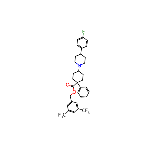 O=C(OCc1cc(C(F)(F)F)cc(C(F)(F)F)c1)C1(c2ccccc2)CCC(N2CCC(c3ccc(F)cc3)CC2)CC1